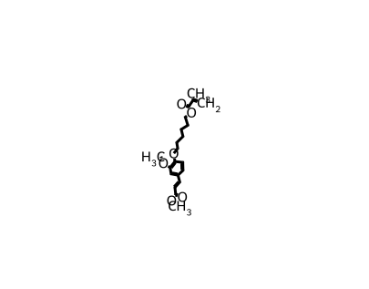 C=C(C)C(=O)OCCCCCCOc1ccc(C=CC(=O)OC)cc1OC